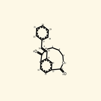 O=C1OCCCOC(=O)c2ccc1cc2C=Cc1ccccc1